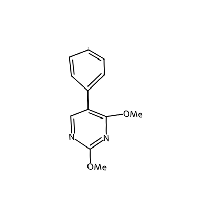 COc1ncc(-c2cc[c]cc2)c(OC)n1